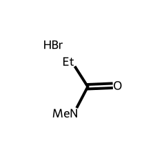 Br.CCC(=O)NC